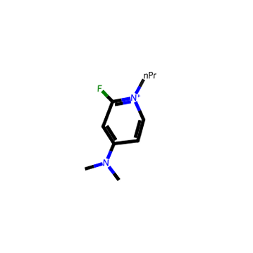 CCC[n+]1ccc(N(C)C)cc1F